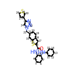 O=C(Nc1ccccc1Nc1ccccc1)c1cc2ccc(Cn3cc(-c4ccsc4)nn3)cc2s1